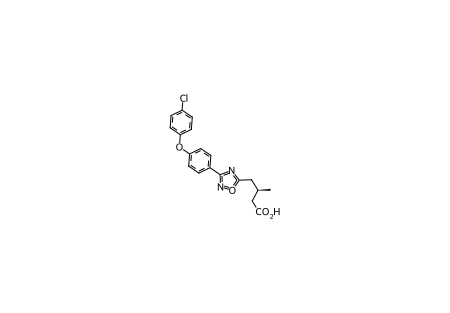 C[C@@H](CC(=O)O)Cc1nc(-c2ccc(Oc3ccc(Cl)cc3)cc2)no1